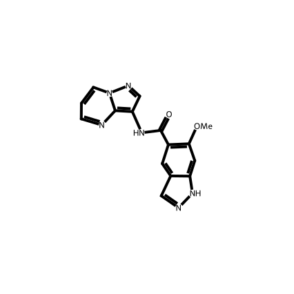 COc1cc2[nH]ncc2cc1C(=O)Nc1cnn2cccnc12